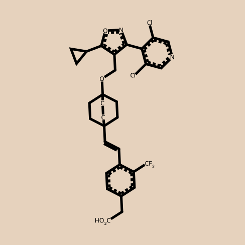 O=C(O)Cc1ccc(/C=C/C23CCC(OCc4c(-c5c(Cl)cncc5Cl)noc4C4CC4)(CC2)CC3)c(C(F)(F)F)c1